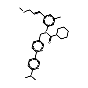 COC/C=C/c1cc(C)cc(N(Cc2ccc(-c3ccc(N(C)C)nc3)nc2)C(=O)C2CCCCC2)c1